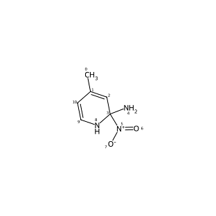 CC1=CC(N)([N+](=O)[O-])NC=C1